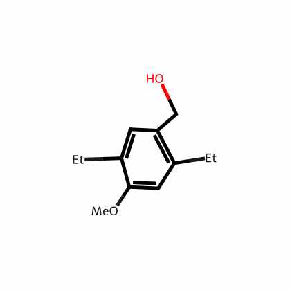 CCc1cc(OC)c(CC)cc1CO